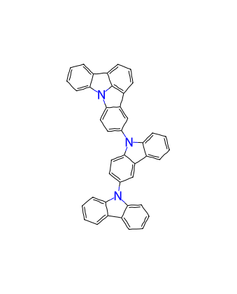 c1ccc2c(c1)c1ccccc1n2-c1ccc2c(c1)c1ccccc1n2-c1ccc2c(c1)c1cccc3c4ccccc4n2c31